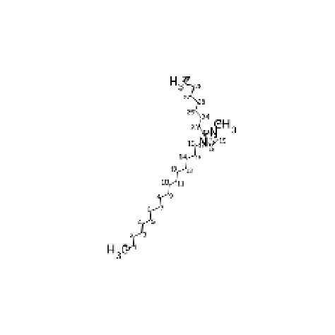 CCCCCCCCCCCCCCCCC[n+]1ccn(C)c1CCCCCCC